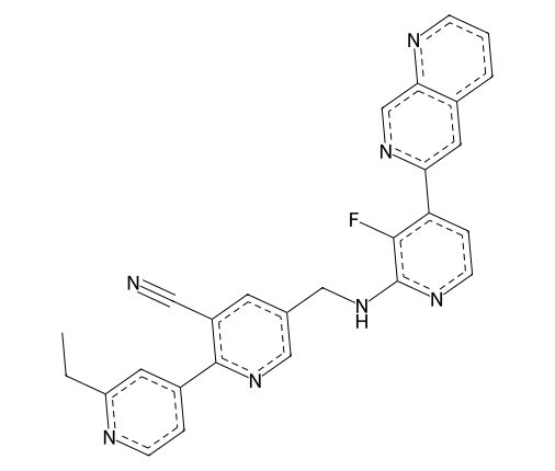 CCc1cc(-c2ncc(CNc3nccc(-c4cc5cccnc5cn4)c3F)cc2C#N)ccn1